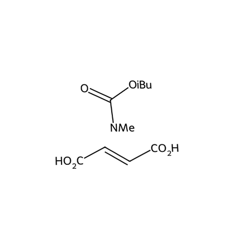 CNC(=O)OCC(C)C.O=C(O)C=CC(=O)O